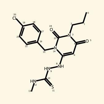 CCCn1c(=O)cc(NNC(=S)NC)n(Cc2ccc(Cl)cc2)c1=O